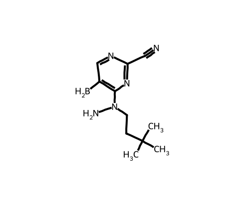 Bc1cnc(C#N)nc1N(N)CCC(C)(C)C